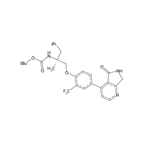 CC(C)C[C@@](C)(COc1ccc(-c2ccnc3c2C(=O)NC3)cc1C(F)(F)F)NC(=O)OC(C)(C)C